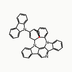 C1=CC(n2c3ccccc3c3ccccc32)=CC(n2c3ccccc3c3cnc4c5ccccc5n(-c5ccccc5)c4c32)C1